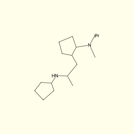 CC(CC1CCCC1N(C)C(C)C)NC1CCCC1